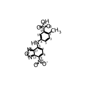 Cc1ccc(Nc2ccc([N+](=O)[O-])c3nonc23)cc1S(=O)(=O)O